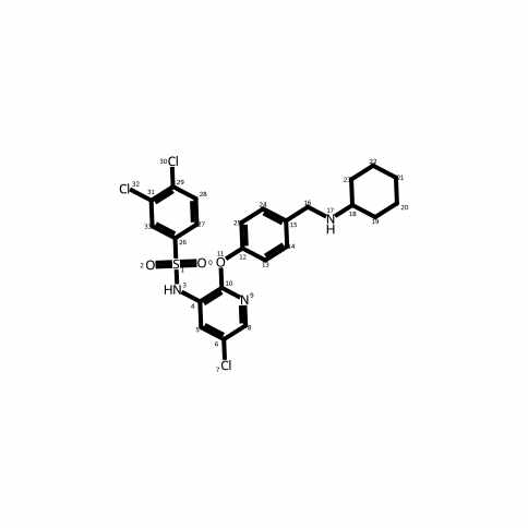 O=S(=O)(Nc1cc(Cl)cnc1Oc1ccc(CNC2CCCCC2)cc1)c1ccc(Cl)c(Cl)c1